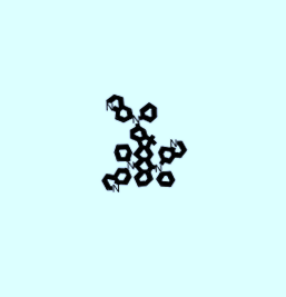 CC1(C)c2cc(N(c3ccccc3)c3ccc4ncccc4c3)ccc2-c2cc3c(N(c4ccccc4)c4ccc5ncccc5c4)c4ccccc4c(N(c4ccccc4)c4ccc5ncccc5c4)c3cc21